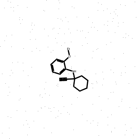 C#CC1(Nc2ccccc2OCC)CCCCC1